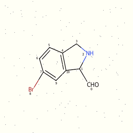 O=CC1NCc2ccc(Br)cc21